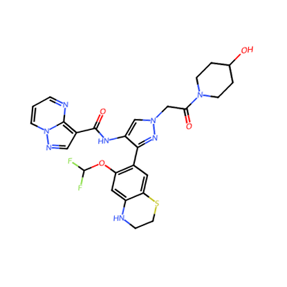 O=C(Nc1cn(CC(=O)N2CCC(O)CC2)nc1-c1cc2c(cc1OC(F)F)NCCS2)c1cnn2cccnc12